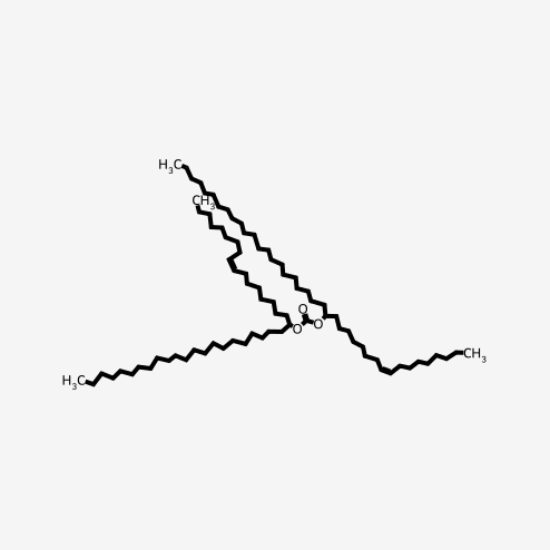 CCCCCCCC/C=C\CCCCCCCC(CCCCCCCCCCCCCCCCCCCCCC)OC(=O)OC(CCCCCCC/C=C\CCCCCCCC)CCCCCCCCCCCCCCCCCCCCCC